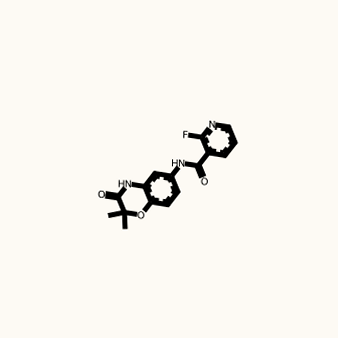 CC1(C)Oc2ccc(NC(=O)c3cccnc3F)cc2NC1=O